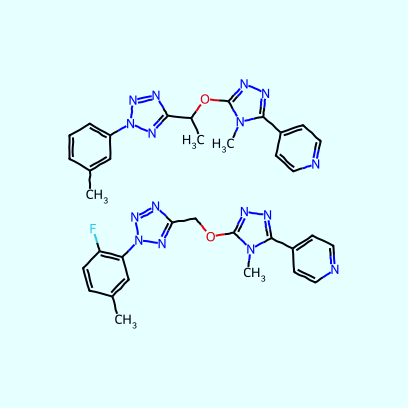 Cc1ccc(F)c(-n2nnc(COc3nnc(-c4ccncc4)n3C)n2)c1.Cc1cccc(-n2nnc(C(C)Oc3nnc(-c4ccncc4)n3C)n2)c1